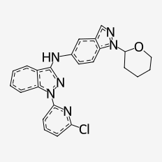 Clc1cccc(-n2nc(Nc3ccc4c(cnn4C4CCCCO4)c3)c3ccccc32)n1